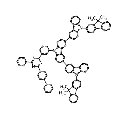 CC1(C)c2ccccc2-c2ccc(-n3c4ccccc4c4cc(-c5ccc6c(c5)c5cc(-c7ccc8c(c7)c7ccccc7n8-c7ccc8c(c7)C(C)(C)c7ccccc7-8)ccc5n6-c5cccc(-c6nc(-c7ccccc7)nc(-c7ccc(-c8ccccc8)cc7)n6)c5)ccc43)cc21